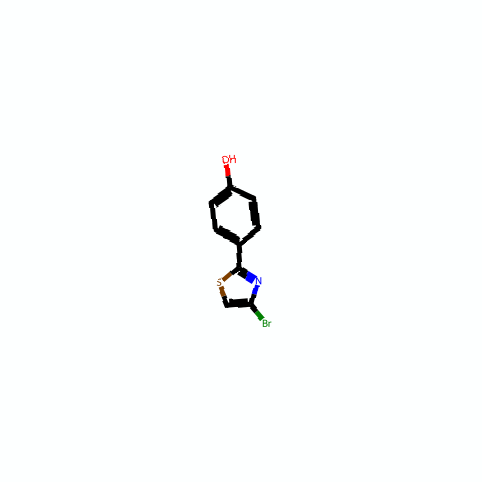 Oc1ccc(-c2nc(Br)cs2)cc1